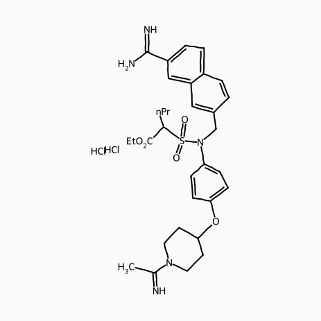 CCCC(C(=O)OCC)S(=O)(=O)N(Cc1ccc2ccc(C(=N)N)cc2c1)c1ccc(OC2CCN(C(C)=N)CC2)cc1.Cl.Cl